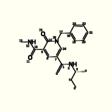 C=C(N[C@H](C)CC)c1cc(C(=O)NC)c(=O)n(Cc2ccccc2)c1